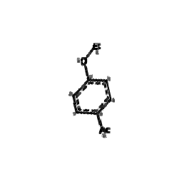 [CH2]COc1ccc(C(C)=O)cc1